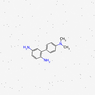 CN(C)c1ccc(-c2cc(N)ccc2N)cc1